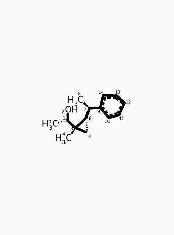 C[C@H](O)[C@@]1(C)C[C@H]1[C@@H](C)c1ccccc1